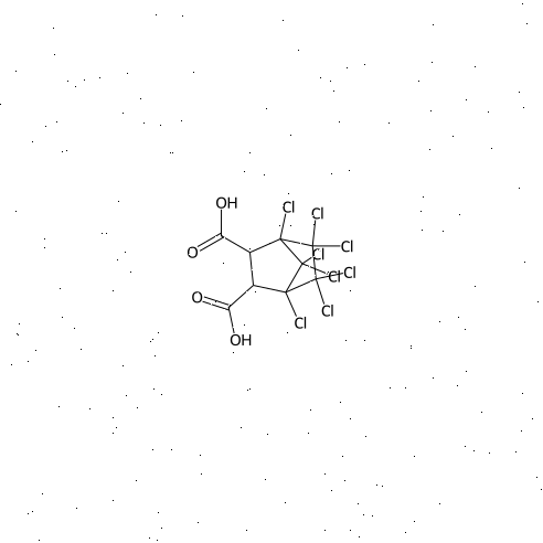 O=C(O)C1C(C(=O)O)C2(Cl)C(Cl)(Cl)C(Cl)(Cl)C1(Cl)C2(Cl)Cl